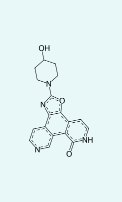 O=c1[nH]ccc2c3oc(N4CCC(O)CC4)nc3c3ccncc3c12